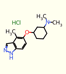 Cc1c(OC2CCCC(N(C)C)C2)ccc2[nH]ncc12.Cl